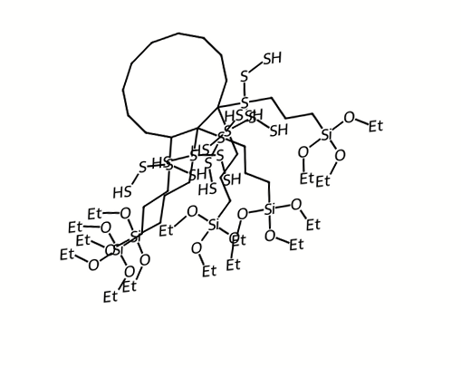 CCO[Si](CCCS(S)(SS)C1CCCCCCCCCC(S(S)(CCC[Si](OCC)(OCC)OCC)SS)(S(S)(CCC[Si](OCC)(OCC)OCC)SS)C1(S(S)(CCC[Si](OCC)(OCC)OCC)SS)S(S)(CCC[Si](OCC)(OCC)OCC)SS)(OCC)OCC